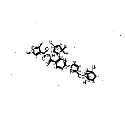 Cc1nn(C)cc1S(=O)(=O)NC(=O)c1ccc(-n2ccc(O[C@H]3C[C@H]4CC[C@@H]3C4)n2)nc1N1C[C@@H](C)CC1(C)C